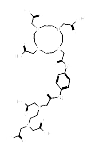 O=C(O)CN1CCN(CC(=O)O)CCN(CC(=O)Nc2ccc(NC(=O)CN(CCN(CC(=O)O)CC(=O)O)CC(=O)O)cc2)CCN(CC(=O)O)CC1